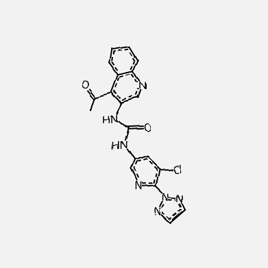 CC(=O)c1c(NC(=O)Nc2cnc(-n3nccn3)c(Cl)c2)cnc2ccccc12